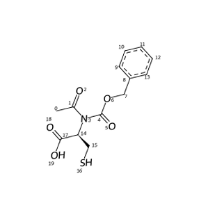 CC(=O)N(C(=O)OCc1ccccc1)[C@@H](CS)C(=O)O